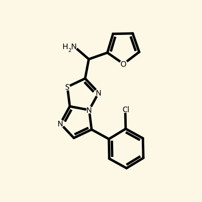 NC(c1ccco1)c1nn2c(-c3ccccc3Cl)cnc2s1